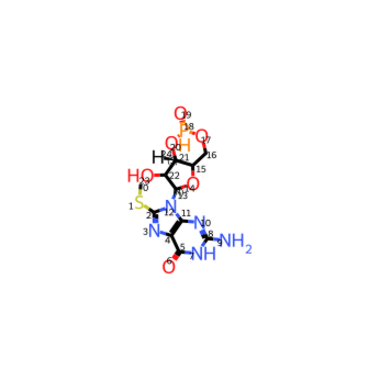 CSc1nc2c(=O)[nH]c(N)nc2n1[C@@H]1OC2CO[PH](=O)O[C@H]2C1O